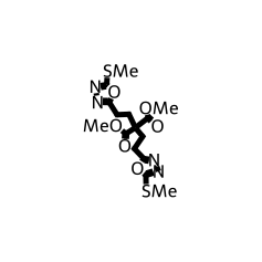 COC(=O)C(CCc1nnc(SC)o1)(CCc1nnc(SC)o1)C(=O)OC